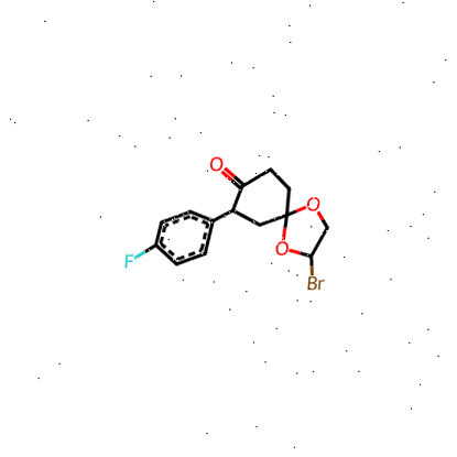 O=C1CCC2(CC1c1ccc(F)cc1)OCC(Br)O2